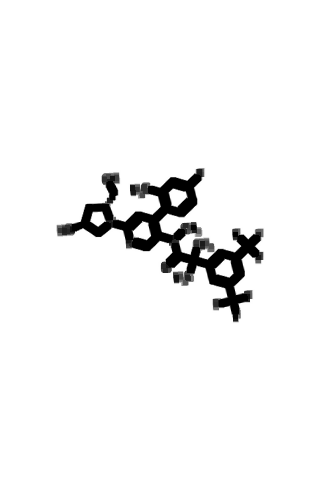 Cc1cc(F)ccc1-c1cc(N2C[C@@H](O)C[C@@H]2CO)ncc1N(C)C(=O)C(C)(C)c1cc(C(F)(F)F)cc(C(F)(F)F)c1